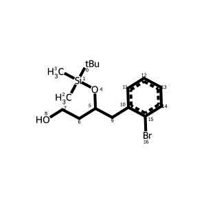 CC(C)(C)[Si](C)(C)OC(CCO)Cc1ccccc1Br